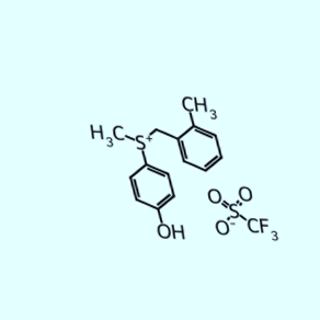 Cc1ccccc1C[S+](C)c1ccc(O)cc1.O=S(=O)([O-])C(F)(F)F